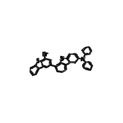 Brc1cc(-c2cccc3c2sc2ccc(N(c4ccccc4)c4ccccc4)cc23)cc2c1sc1ccccc12